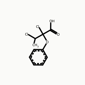 CC(Cl)C(Cl)(Oc1ccccc1)C(=O)O